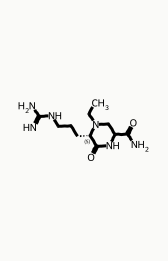 CCN1CC(C(N)=O)NC(=O)[C@@H]1CCCNC(=N)N